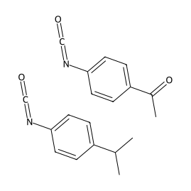 CC(=O)c1ccc(N=C=O)cc1.CC(C)c1ccc(N=C=O)cc1